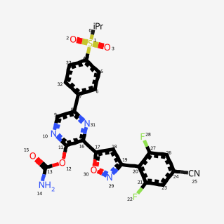 CC(C)S(=O)(=O)c1ccc(-c2cnc(OC(N)=O)c(-c3cc(-c4c(F)cc(C#N)cc4F)no3)n2)cc1